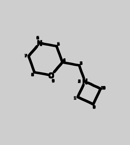 C1CN(CC2C[N]CCO2)C1